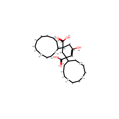 O=C(O)C1(C2CCCCCCCCCCC2)C=C(O)CC(C(=O)O)(C2CCCCCCCCCCC2)C1